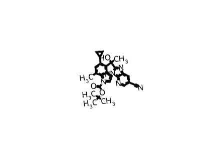 Cc1cc(C2CC2)c(C(C)(O)c2nc3cc(C#N)cnc3[nH]2)c2ccn(C(=O)OC(C)(C)C)c12